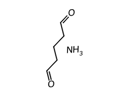 N.O=CCCCC=O